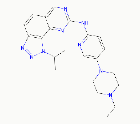 CCN1CCN(c2ccc(Nc3ncc4ccc5nnn(C(C)C)c5c4n3)nc2)CC1